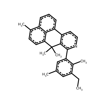 CCc1cc(C)cc(-c2nccc3c2C(C)(C)c2ccc(C)c4cccc-3c24)c1C